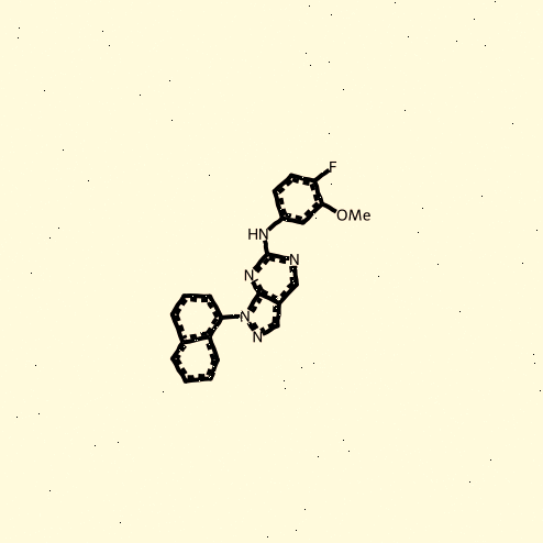 COc1cc(Nc2ncc3cnn(-c4cccc5ccccc45)c3n2)ccc1F